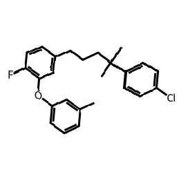 Cc1cccc(Oc2cc(CCCC(C)(C)c3ccc(Cl)cc3)ccc2F)c1